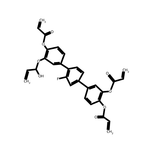 C=CC(=O)Oc1ccc(-c2ccc(-c3ccc(OC(=O)C=C)c(OC(O)C=C)c3)c(F)c2)cc1OC(=O)C=C